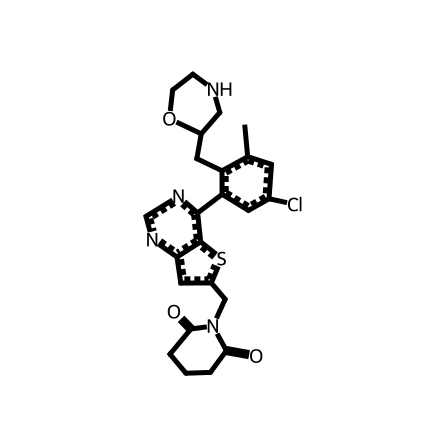 Cc1cc(Cl)cc(-c2ncnc3cc(CN4C(=O)CCCC4=O)sc23)c1CC1CNCCO1